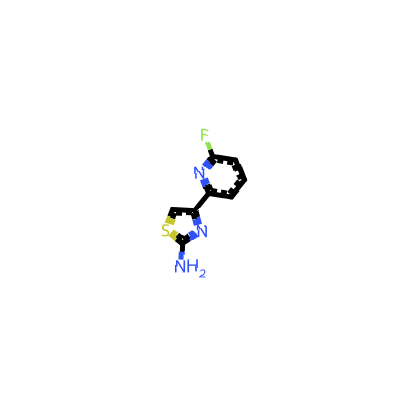 Nc1nc(-c2cccc(F)n2)cs1